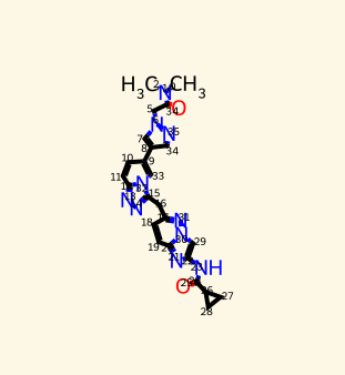 CN(C)C(=O)Cn1cc(-c2ccc3nnc(Cc4ccc5nc(NC(=O)C6CC6)cn5n4)n3c2)cn1